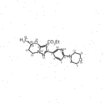 CCOC(=O)c1c(-c2ccc(N3CCOCC3)nc2)nn2c1O[C@H](C)CC2